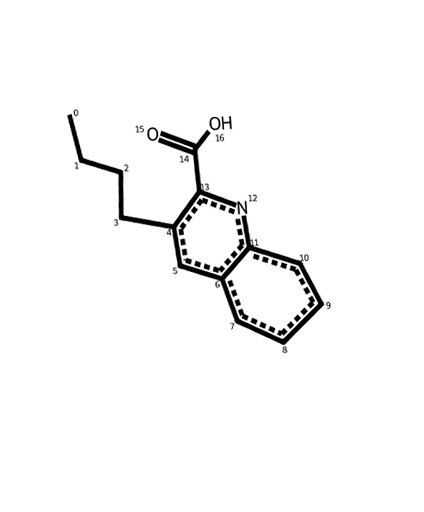 CCCCc1cc2ccccc2nc1C(=O)O